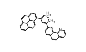 C/C=C(\C=C(/C)c1ccc2ccc3cccnc3c2n1)C1=CC=C2C=CC3=CC=CC4=CC=C1C2C34